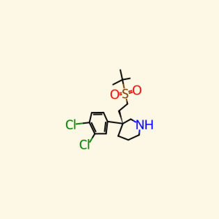 CC(C)(C)S(=O)(=O)CC[C@]1(c2ccc(Cl)c(Cl)c2)CCCNC1